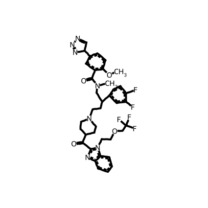 COc1ccc(C2C=NN=N2)cc1C(=O)N(C)CC(CCN1CCC(C(=O)c2nc3ccccc3n2CCOCC(F)(F)F)CC1)c1ccc(F)c(F)c1